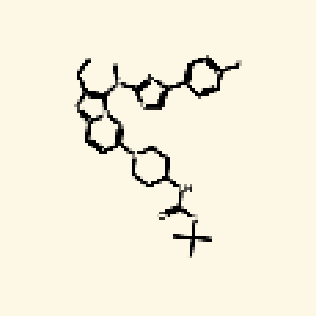 CCc1nc2ccc(N3CCC(NC(=O)OC(C)(C)C)CC3)nn2c1N(C)c1nc(-c2ccc(F)cc2)cs1